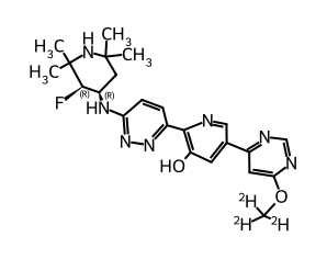 [2H]C([2H])([2H])Oc1cc(-c2cnc(-c3ccc(N[C@@H]4CC(C)(C)NC(C)(C)[C@@H]4F)nn3)c(O)c2)ncn1